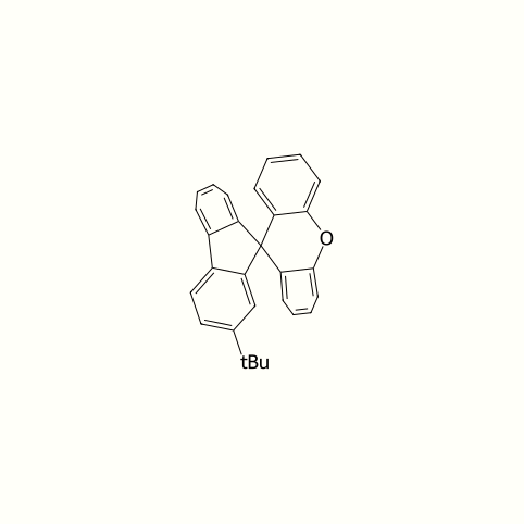 CC(C)(C)c1ccc2c(c1)C1(c3ccccc3Oc3ccccc31)c1ccccc1-2